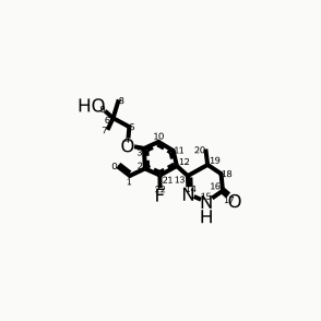 C=Cc1c(OCC(C)(C)O)ccc(C2=NNC(=O)CC2C)c1F